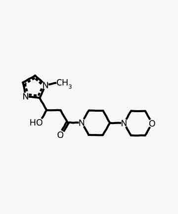 Cn1ccnc1C(O)CC(=O)N1CCC(N2CCOCC2)CC1